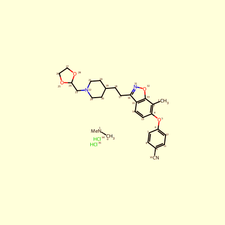 CNC.Cc1c(Oc2ccc(C#N)cc2)ccc2c(CCC3CCN(CC4OCCO4)CC3)noc12.Cl.Cl